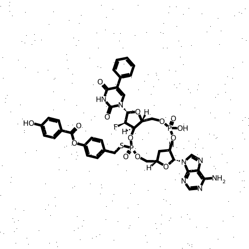 Nc1ncnc2c1ncn2[C@@H]1O[C@@H]2COP(=O)(SCc3ccc(OC(=O)c4ccc(O)cc4)cc3)O[C@H]3[C@@H](F)[C@H](n4cc(-c5ccccc5)c(=O)[nH]c4=O)O[C@@H]3COP(=O)(O)O[C@@H]1C2